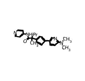 CC(C)C(C)(C(=O)Nc1ccncc1)c1ccc(-c2ccc(N(C)C)nc2)cc1